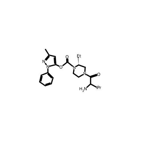 CC[C@@H]1CN(C(=O)C(N)C(C)C)CCN1C(=O)Oc1cc(C)nn1-c1ccccc1